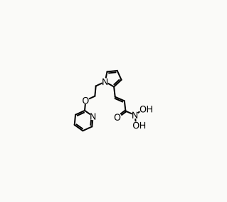 O=C(/C=C/c1cccn1CCOc1ccccn1)N(O)O